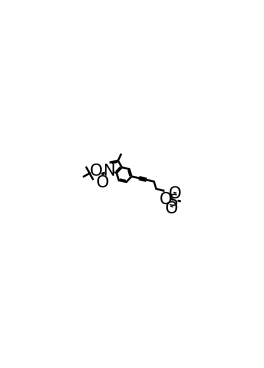 Cc1cn(C(=O)OC(C)(C)C)c2ccc(C#CCCCOS(C)(=O)=O)cc12